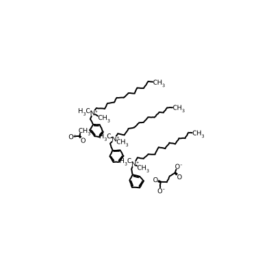 CC(=O)[O-].CCCCCCCCCCCC[N+](C)(C)Cc1ccccc1.CCCCCCCCCCCC[N+](C)(C)Cc1ccccc1.CCCCCCCCCCCC[N+](C)(C)Cc1ccccc1.O=C([O-])CCC(=O)[O-]